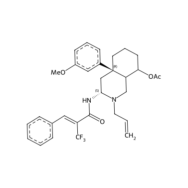 C=CCN1CC2C(OC(C)=O)CCC[C@@]2(c2cccc(OC)c2)C[C@H]1NC(=O)C(=Cc1ccccc1)C(F)(F)F